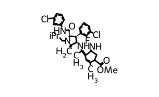 C=C1[C@@H](N/C(C)=C2/C=C(C)C(C(=O)OC)CC2=N)[C@H](c2cccc(Cl)c2F)[C@H](C(=O)Nc2cccc(Cl)c2)N1CC(C)C